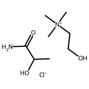 CC(O)C(N)=O.C[N+](C)(C)CCO.[Cl-]